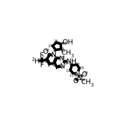 [2H]C(F)(F)c1cc2cnc(NC3CCN(S(C)(=O)=O)CC3)nc2n([C@H]2CC[C@H](O)[C@H]2C)c1=O